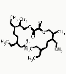 CCC(CC)CCC(CC)C(C)COC(=O)C(=O)OCC(C)C(CC)CCC(CC)CC